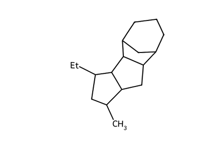 CCC1CC(C)C2CC3C4CCCC(C4)C3C12